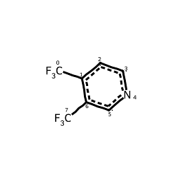 FC(F)(F)c1[c][c]n[c]c1C(F)(F)F